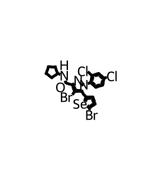 O=C(NC1CCCC1)c1nn(-c2ccc(Cl)cc2Cl)c(-c2ccc(Br)[se]2)c1Br